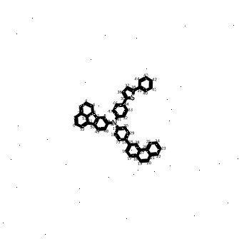 C1=CC2=CC=CC3c4cc(N(c5ccc(-c6ccc7ccc8ccccc8c7c6)cc5)c5ccc(-c6ccc(-c7ccccc7)s6)cc5)ccc4C(=C1)C23